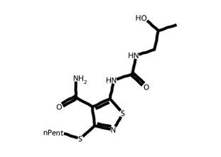 CCCCCSc1nsc(NC(=O)NCC(C)O)c1C(N)=O